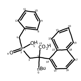 CCCCC(CP(=O)(O)Cc1ccccc1)(C(=O)O)c1cccc2ccccc12